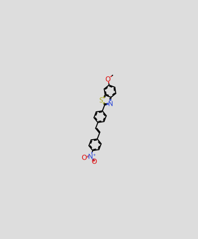 COc1ccc2nc(-c3ccc(/C=C/c4ccc([N+](=O)[O-])cc4)cc3)sc2c1